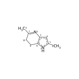 CC1=Nc2cc(C)[nH]c2CC1